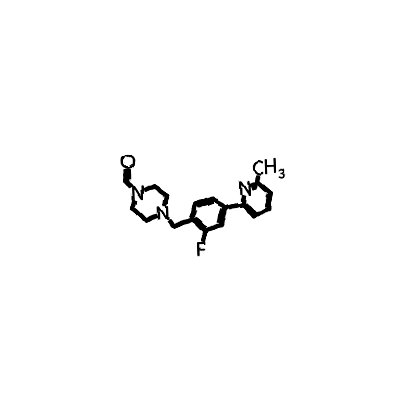 Cc1cccc(-c2ccc(CN3CCN(C=O)CC3)c(F)c2)n1